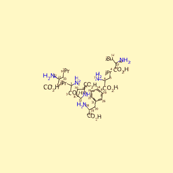 CC(C)C(N)C(=O)O.CC(C)CC(N)C(=O)O.CC(C)CC(N)C(=O)O.CCC(C)C(N)C(=O)O.NC(Cc1ccccc1)C(=O)O.O=C(O)[C@@H]1CCCN1